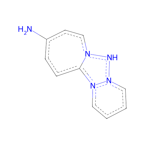 Nc1ccc2n3ccccn3[nH]n-2cc1